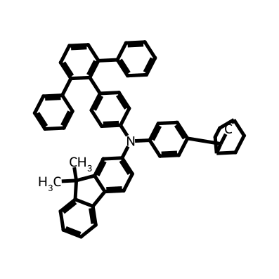 CC1(C)c2ccccc2-c2ccc(N(c3ccc(-c4c(-c5ccccc5)cccc4-c4ccccc4)cc3)c3ccc(C4CC5CCC4CC5)cc3)cc21